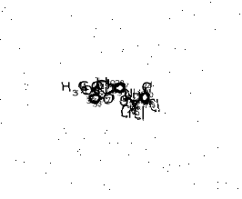 COC(=O)C1(NC(=O)c2cc(NC(=O)C3C(c4cc(Cl)cc(Cl)c4)C3(Cl)Cl)ccc2Cl)CCCC1